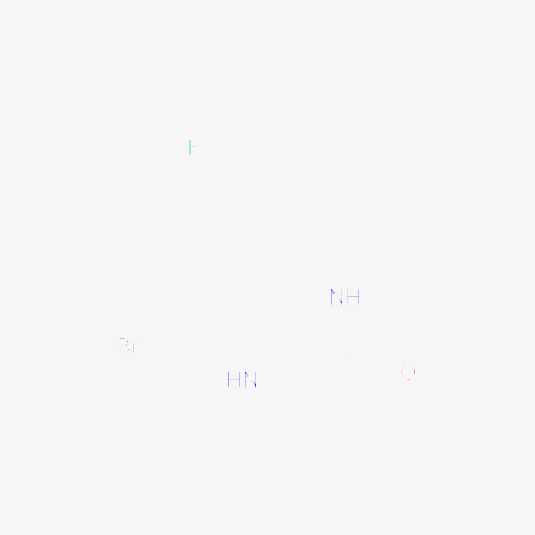 O=C1CNc2c(Br)cc(F)cc2N1